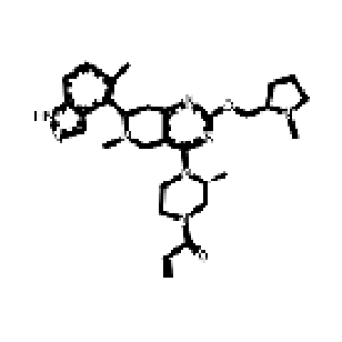 C=CC(=O)N1CCN(c2nc(OCC3CCCN3C)nc3c2CN(C)C(c2c(C)ccc4[nH]ncc24)C3)[C@@H](C)C1